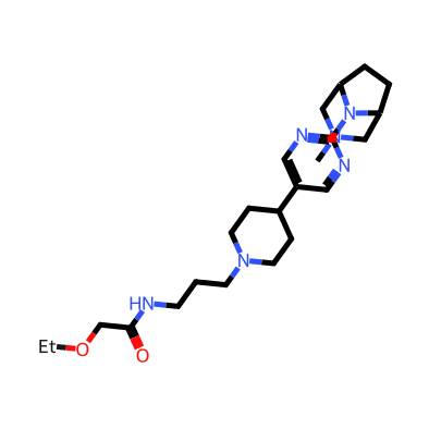 CCOCC(=O)NCCCN1CCC(c2cnc(N3C4CCC3CN(C)C4)nc2)CC1